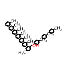 Cc1ccc(CO)cc1.Cc1ccccc1.Cc1ccccc1.Cc1ccccc1.Cc1ccccc1.Cc1ccccc1.Cc1ccccc1.Cc1ccccc1.Cc1ccccc1.Cc1ccccc1